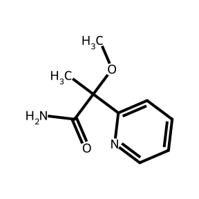 COC(C)(C(N)=O)c1ccccn1